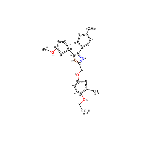 COc1ccc(-c2nc(COc3ccc(OCC(=O)O)c(C)c3)sc2-c2cccc(OC(C)C)c2)cc1